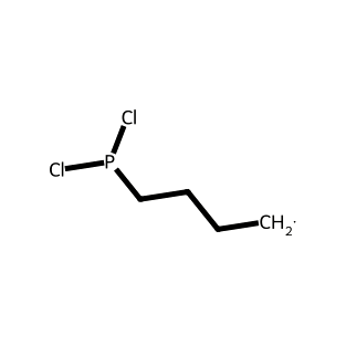 [CH2]CCCP(Cl)Cl